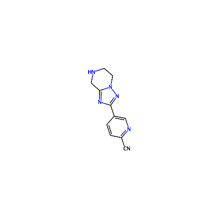 N#Cc1ccc(-c2nc3n(n2)CCNC3)cn1